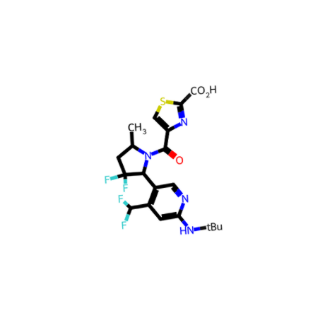 CC1CC(F)(F)C(c2cnc(NC(C)(C)C)cc2C(F)F)N1C(=O)c1csc(C(=O)O)n1